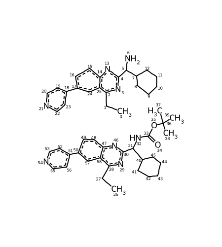 CCc1nc(C(N)C2CCCCC2)nc2ccc(-c3ccncc3)cc12.CCc1nc(C(NC(=O)OC(C)(C)C)C2CCCCC2)nc2ccc(-c3ccncc3)cc12